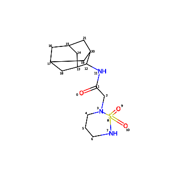 O=C(CN1CCCNS1(=O)=O)NC1C2CC3CC(C2)CC1C3